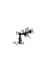 CCN1CC(/C=C/c2cc3cc(C(=N)N)ccc3o2)C(CNc2cc(C)nc(NC(=O)Nc3ccc(Cl)c(Cl)c3)n2)C1